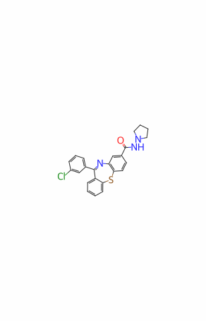 O=C(NN1CCCC1)c1ccc2c(c1)N=C(c1cccc(Cl)c1)c1ccccc1S2